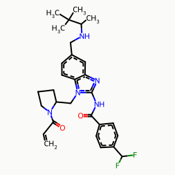 C=CC(=O)N1CCCC1Cn1c(NC(=O)c2ccc(C(F)F)cc2)nc2cc(CNC(C)C(C)(C)C)ccc21